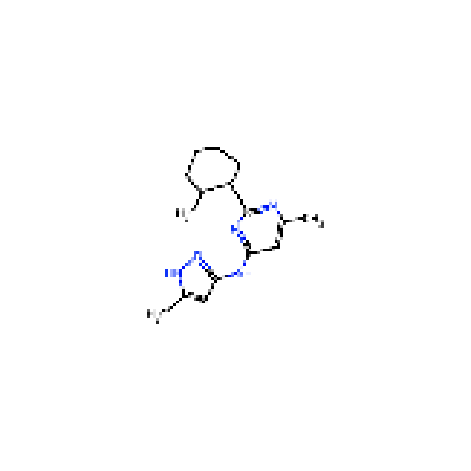 Cc1cc(Nc2cc(C)[nH]n2)nc(C2CCCCC2C)n1